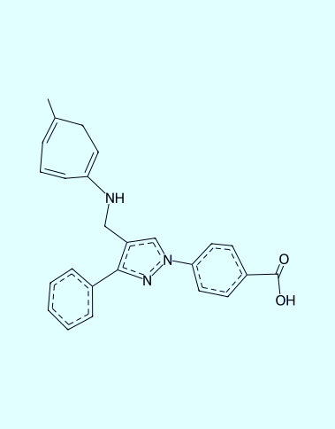 CC1=CC=CC(NCc2cn(-c3ccc(C(=O)O)cc3)nc2-c2ccccc2)=CC1